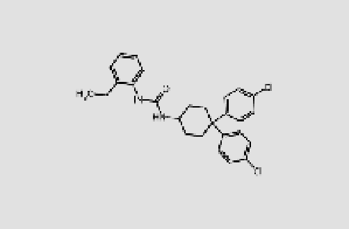 CCc1ccccc1NC(=O)NC1CCC(c2ccc(Cl)cc2)(c2ccc(Cl)cc2)CC1